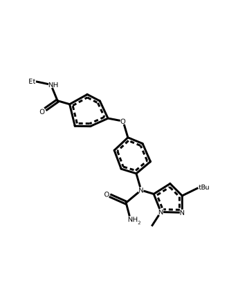 CCNC(=O)c1ccc(Oc2ccc(N(C(N)=O)c3cc(C(C)(C)C)nn3C)cc2)cc1